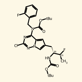 C[C@H](F)[C@@H](Cc1cc2c(N(Cc3ccccc3F)C(=O)OC(C)(C)C)nc(Cl)nn2c1)NC(=O)OC(C)(C)C